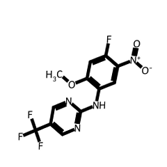 COc1cc(F)c([N+](=O)[O-])cc1Nc1ncc(C(F)(F)F)cn1